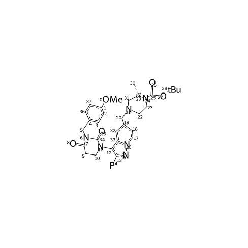 COc1ccc(CN2C(=O)CCN(c3c(F)nn4ccc(CN5CCN(C(=O)OC(C)(C)C)[C@@H](C)C5)cc34)C2=O)cc1